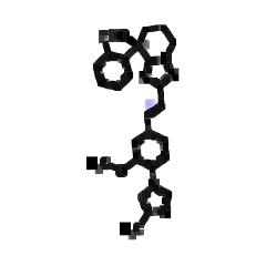 COc1cc(/C=C/c2nc3n(n2)CCC[C@@]3(O)c2ccccc2F)ccc1-n1cnc(C)c1